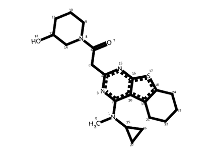 CN(c1nc(CC(=O)N2CCCC(O)C2)nc2sc3c(c12)CCCC3)C1CC1